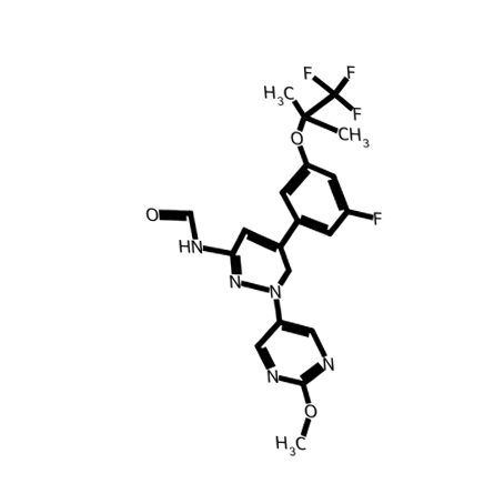 COc1ncc(N2CC(c3cc(F)cc(OC(C)(C)C(F)(F)F)c3)=CC(NC=O)=N2)cn1